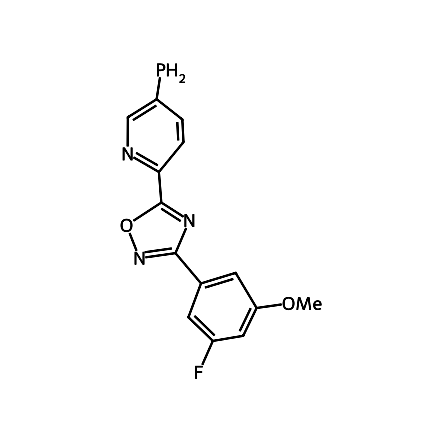 COc1cc(F)cc(-c2noc(-c3ccc(P)cn3)n2)c1